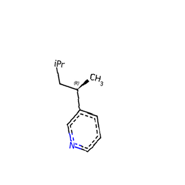 CC(C)C[C@@H](C)c1cccnc1